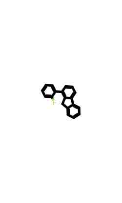 Fc1ccccc1-c1cccc2c1Cc1ccccc1-2